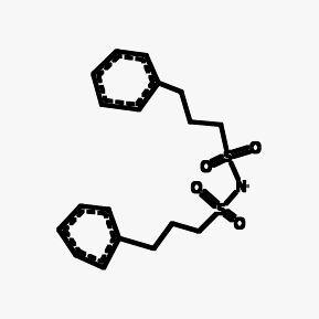 O=S(=O)(CCCc1ccccc1)[N]S(=O)(=O)CCCc1ccccc1